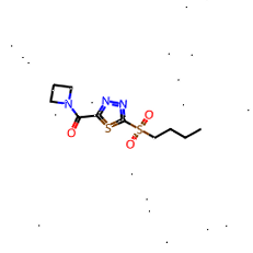 CCCCS(=O)(=O)c1nnc(C(=O)N2CCC2)s1